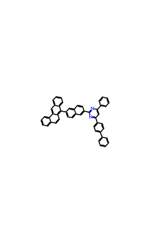 c1ccc(-c2ccc(-c3cc(-c4ccccc4)nc(-c4ccc5cc(-c6c7ccccc7cc7c6ccc6ccccc67)ccc5c4)n3)cc2)cc1